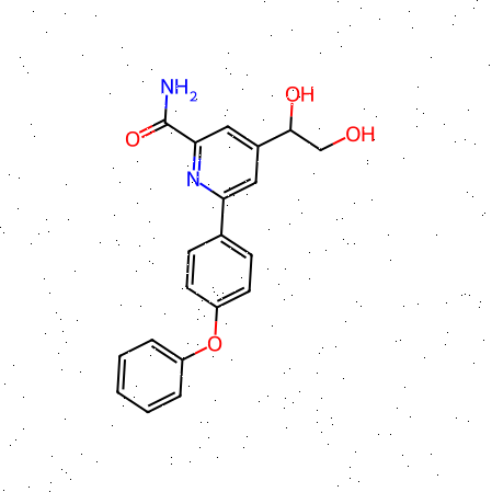 NC(=O)c1cc(C(O)CO)cc(-c2ccc(Oc3ccccc3)cc2)n1